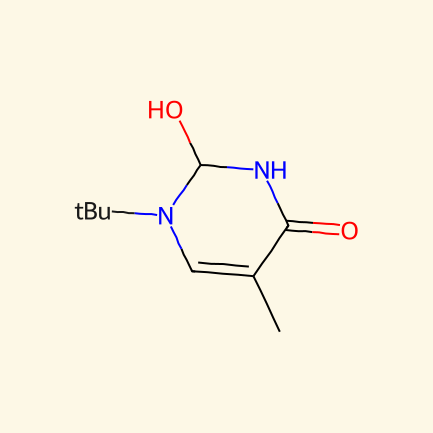 CC1=CN(C(C)(C)C)C(O)NC1=O